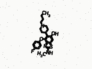 CCCCN1CCC(c2c(O)cc3sc(NC)nc3c2Oc2ccc(F)cc2)CC1